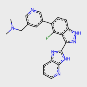 CN(C)Cc1cncc(-c2ccc3[nH]nc(-c4nc5cccnc5[nH]4)c3c2F)c1